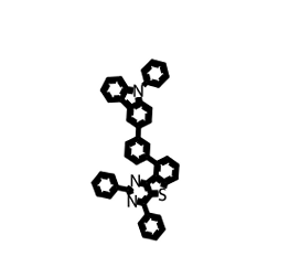 c1ccc(-c2nc(-c3ccccc3)c3sc4cccc(-c5cccc(-c6ccc7c(c6)c6ccccc6n7-c6ccccc6)c5)c4c3n2)cc1